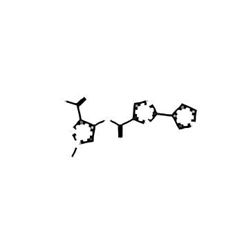 Cn1cc(NC(=O)c2coc(-c3ccoc3)n2)c(C(N)=O)n1